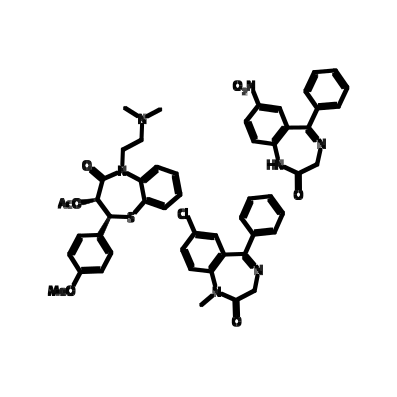 CN1C(=O)CN=C(c2ccccc2)c2cc(Cl)ccc21.COc1ccc([C@@H]2Sc3ccccc3N(CCN(C)C)C(=O)[C@@H]2OC(C)=O)cc1.O=C1CN=C(c2ccccc2)c2cc([N+](=O)[O-])ccc2N1